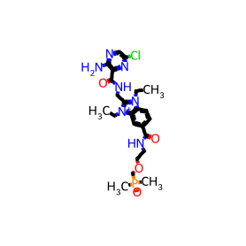 CCn1c(CNC(=O)c2nc(Cl)cnc2N)[n+](CC)c2cc(C(=O)NCCOCP(C)(C)=O)ccc21